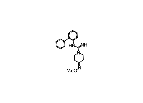 CON=C1CCN(C(=N)Nc2ccccc2-c2ccccc2)CC1